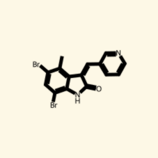 Cc1c(Br)cc(Br)c2c1C(=Cc1cccnc1)C(=O)N2